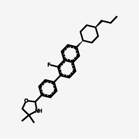 CCC[C@H]1CC[C@H](c2ccc3c(F)c(-c4ccc(C5NC(C)(C)CO5)cc4)ccc3c2)CC1